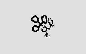 CC(=O)SC1CCN(C(c2ccccc2)(c2ccccc2)c2ccccc2)CC1=Cc1cocn1